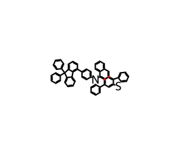 c1ccc(C2(c3ccccc3)c3ccccc3-c3c(-c4ccc(N(c5ccccc5-c5ccc6c(c5)sc5ccccc56)c5cccc6ccccc56)cc4)cccc32)cc1